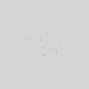 CC(C)(C)c1c(F)ccc2[nH]cc(Cl)c12